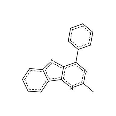 Cc1nc(-c2ccccc2)c2sc3ccccc3c2n1